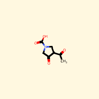 CC(=O)C1CN(C(=O)O)CC1=O